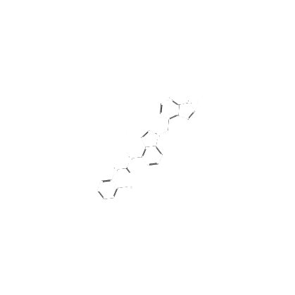 Cl.O=C(Nc1ccccc1Br)Nc1cccc2c1ccn2Cc1ccnc2[nH]ccc12